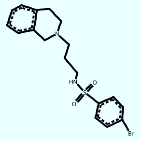 O=S(=O)(NCCCN1CCc2ccccc2C1)c1ccc(Br)cc1